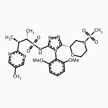 COc1cccc(OC)c1-n1c(NS(=O)(=O)[C@@H](C)[C@H](C)c2ncc(C)cn2)nnc1[C@@H]1CN(S(C)(=O)=O)CCO1